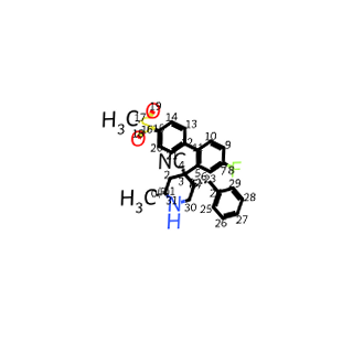 C[C@@H]1CC(C#N)(c2cc(F)ccc2-c2ccc(S(C)(=O)=O)cc2)[C@H](Cc2ccccc2)CN1